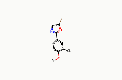 CC(C)Oc1ccc(-c2ncc(Br)o2)cc1C#N